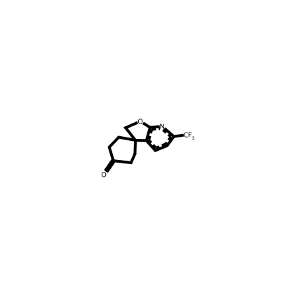 O=C1CCC2(CC1)COc1nc(C(F)(F)F)ccc12